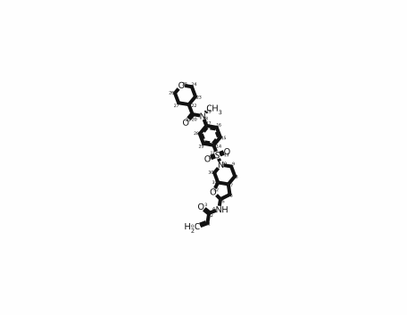 C=CC(=O)NC1CC2CCN(S(=O)(=O)c3ccc(N(C)C(=O)C4CCOCC4)cc3)CC2O1